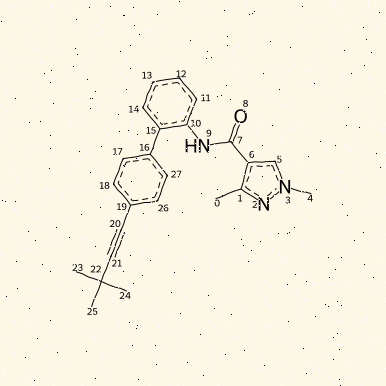 Cc1nn(C)cc1C(=O)Nc1ccccc1-c1ccc(C#CC(C)(C)C)cc1